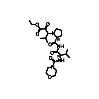 CCOC(=O)C(=O)C(C(C)C)N1CCC[C@H]1C(=O)NC(=O)[C@@H](NC(=O)N1CCOCC1)C(C)C